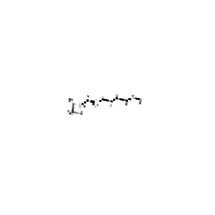 CCCCC[CH]OCC1CCC1